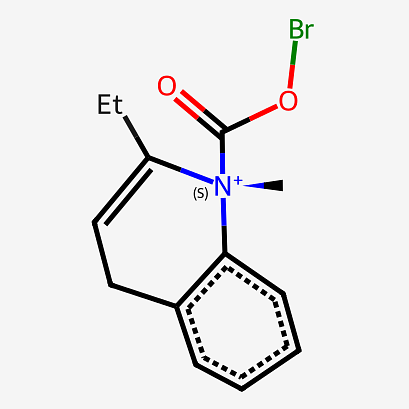 CCC1=CCc2ccccc2[N@@+]1(C)C(=O)OBr